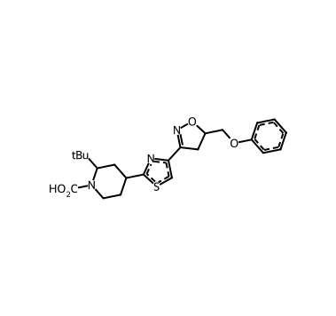 CC(C)(C)C1CC(c2nc(C3=NOC(COc4ccccc4)C3)cs2)CCN1C(=O)O